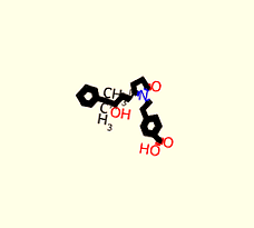 CC(C)(c1ccccc1)[C@H](O)C=C[C@H]1CCC(=O)N1CCc1ccc(C(=O)O)cc1